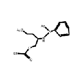 CCC(=O)OCC(CCOC(C)=O)NN(C(C)=O)c1ccccc1